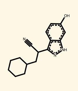 N#CC(CC1CCCCC1)c1n[nH]c2cc(O)ccc12